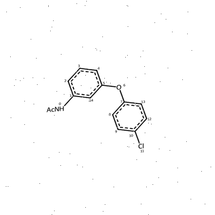 CC(=O)Nc1cccc(Oc2ccc(Cl)cc2)c1